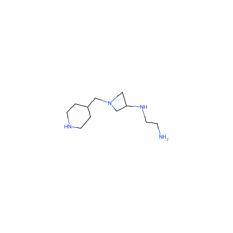 NCCNC1CN(CC2CCNCC2)C1